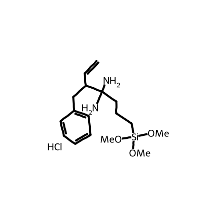 C=CC(Cc1ccccc1)C(N)(N)CCC[Si](OC)(OC)OC.Cl